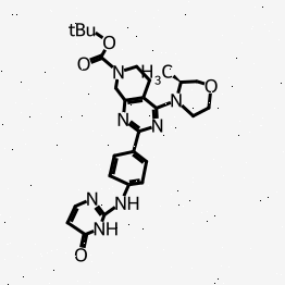 C[C@H]1COCCN1c1nc(-c2ccc(Nc3nccc(=O)[nH]3)cc2)nc2c1CCN(C(=O)OC(C)(C)C)C2